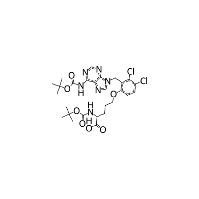 CC(C)(C)OC(=O)Nc1ncnc2c1ncn2Cc1c(OCCCC(NC(=O)OC(C)(C)C)C(=O)O)ccc(Cl)c1Cl